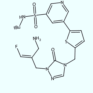 CC(C)(C)NS(=O)(=O)c1cncc(-c2ccc(Cn3cnn(C/C(=C/F)CN)c3=O)s2)c1